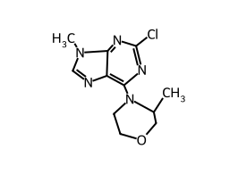 CC1COCCN1c1nc(Cl)nc2c1ncn2C